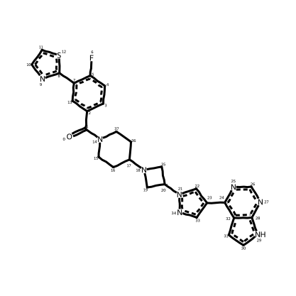 O=C(c1ccc(F)c(-c2nccs2)c1)N1CCC(N2C[C](n3cc(-c4ncnc5[nH]ccc45)cn3)C2)CC1